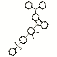 Cc1c(-c2ccc(S(=O)(=O)c3ccccc3)cc2)ccc(-n2c3ccccc3c3cc(N(c4ccccc4)c4ccccc4)ccc32)c1C